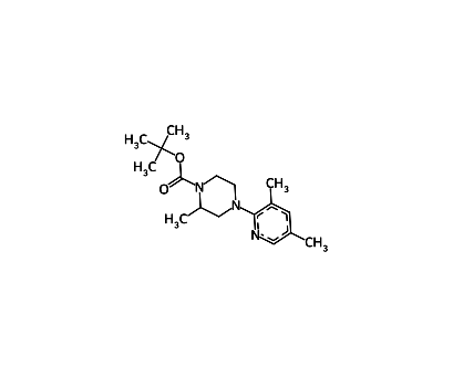 Cc1cnc(N2CCN(C(=O)OC(C)(C)C)C(C)C2)c(C)c1